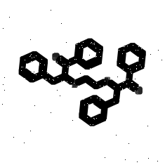 O=C(c1ccccc1)C(Cc1ccccc1)SCCSC(Cc1ccccc1)C(=O)c1ccccc1